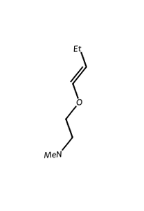 CCC=COCCNC